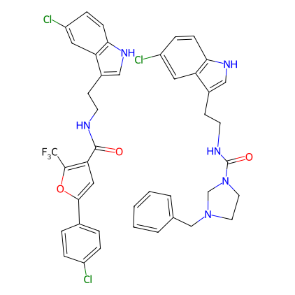 O=C(NCCc1c[nH]c2ccc(Cl)cc12)N1CCN(Cc2ccccc2)C1.O=C(NCCc1c[nH]c2ccc(Cl)cc12)c1cc(-c2ccc(Cl)cc2)oc1C(F)(F)F